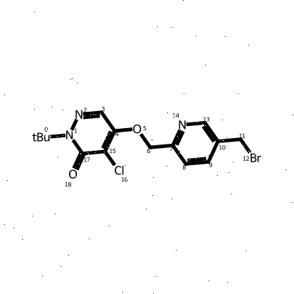 CC(C)(C)n1ncc(OCc2ccc(CBr)cn2)c(Cl)c1=O